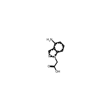 Nc1cccc2c1cnn2CC(=O)O